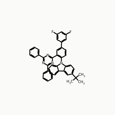 CC(C)(C)c1ccc2c(c1)c1ccccc1n2-c1ccc(-c2cc(F)cc(F)c2)cc1-c1nc(-c2ccccc2)nc(-c2ccccc2)n1